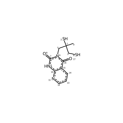 CC(S)(CS)Cn1c(=O)[nH]c2ncccc2c1=O